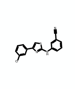 N#Cc1cccc(Nc2nc(-c3cccc(Cl)c3)cs2)c1